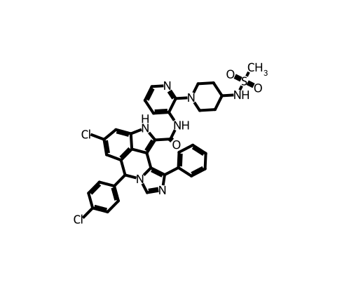 CS(=O)(=O)NC1CCN(c2ncccc2NC(=O)c2[nH]c3cc(Cl)cc4c3c2-c2c(-c3ccccc3)ncn2C4c2ccc(Cl)cc2)CC1